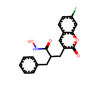 O=C(NO)C(Cc1ccccc1)Cc1cc2ccc(F)cc2oc1=O